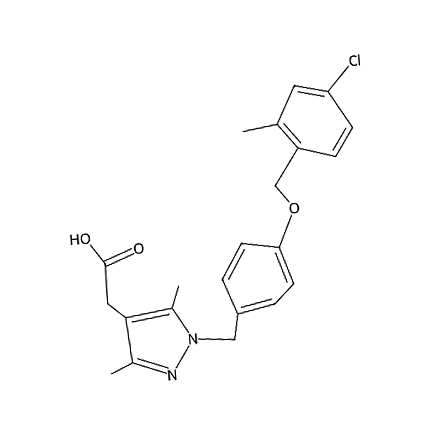 Cc1cc(Cl)ccc1COc1ccc(Cn2nc(C)c(CC(=O)O)c2C)cc1